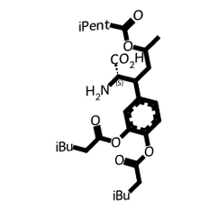 CCCC(C)C(=O)OC(C)CC(c1ccc(OC(=O)CC(C)CC)c(OC(=O)CC(C)CC)c1)[C@H](N)C(=O)O